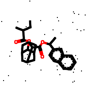 CCC(C)C(=O)OC1C2CC3CC1CC(C2)C3C(=O)OC(C)c1ccc2ccccc2c1